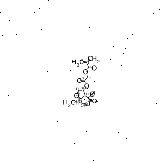 C=C(C)C(=O)OCC(=O)OC1C2OC3C(OS(=O)(=O)C13)C2C